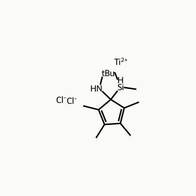 CC1=C(C)C(NC(C)(C)C)([SiH](C)C)C(C)=C1C.[Cl-].[Cl-].[Ti+2]